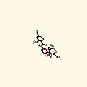 COCc1cc(C#N)cnc1C(=O)Nc1ccc(F)c([C@@]2(C(F)F)N=C(N)ON[C@@H]3C[C@@H]32)c1